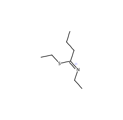 CCC/C(=N/CC)SCC